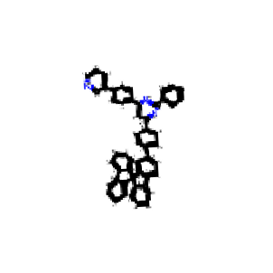 c1ccc(-c2nc(-c3ccc(-c4cccnc4)cc3)cc(-c3ccc(-c4ccc5c(c4)C4(c6ccccc6-c6ccccc64)c4ccccc4-5)cc3)n2)cc1